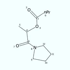 CCCC(=O)OC(C)C(=O)N1CCCC1